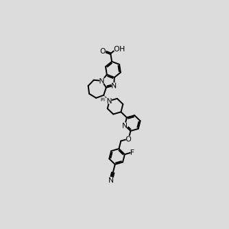 N#Cc1ccc(COc2cccc(C3CCN([C@@H]4CCCCn5c4nc4ccc(C(=O)O)cc45)CC3)n2)c(F)c1